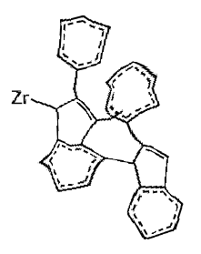 CC1=C(c2ccccc2)[CH]([Zr])c2cccc(C3C(c4ccccc4)=Cc4ccccc43)c21